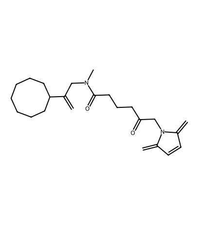 C=C(CN(C)C(=O)CCCC(=O)Cn1c(=C)ccc1=C)C1CCCCCCC1